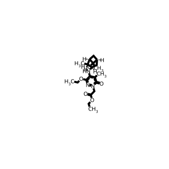 CCOC(=O)Cn1nc(OCC)c(N[C@@H]2C[C@@H]3C[C@H]([C@H]2C)C3(C)C)c(C)c1=O